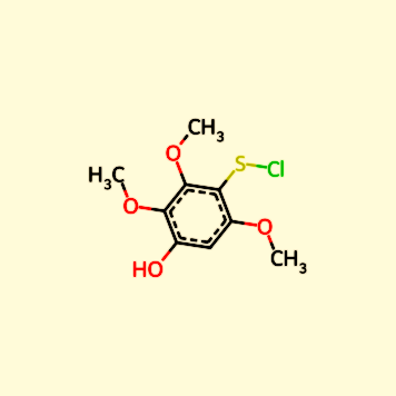 COc1cc(O)c(OC)c(OC)c1SCl